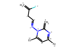 C=C(F)C/C=N/N1C(=C)N=C(C(C)=O)C=C1CC